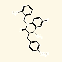 CN1c2cc(F)ccc2N(Cc2ccccc2C(F)(F)F)C(=O)C1Cc1ccc(C(=O)O)cc1